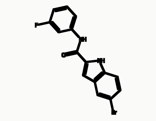 O=C(Nc1cccc(F)c1)c1cc2cc(Br)ccc2[nH]1